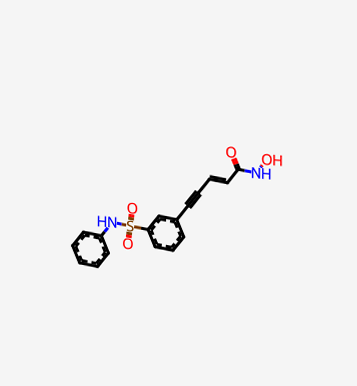 O=C(C=CC#Cc1cccc(S(=O)(=O)Nc2ccccc2)c1)NO